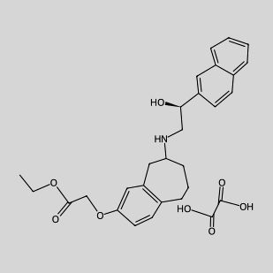 CCOC(=O)COc1ccc2c(c1)CC(NC[C@@H](O)c1ccc3ccccc3c1)CCC2.O=C(O)C(=O)O